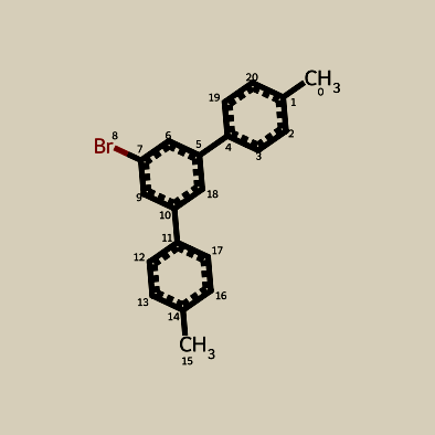 Cc1ccc(-c2cc(Br)cc(-c3ccc(C)cc3)c2)cc1